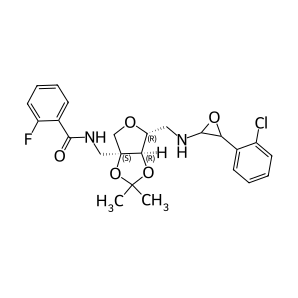 CC1(C)O[C@@H]2[C@@H](CNC3OC3c3ccccc3Cl)OC[C@]2(CNC(=O)c2ccccc2F)O1